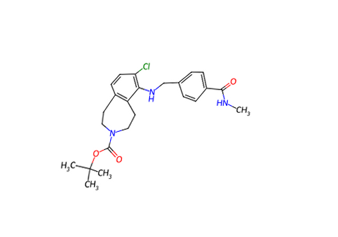 CNC(=O)c1ccc(CNc2c(Cl)ccc3c2CCN(C(=O)OC(C)(C)C)CC3)cc1